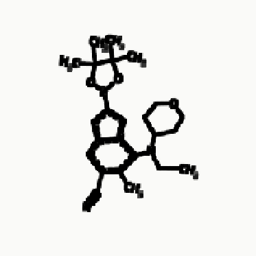 CCN(c1c(C)c(C#N)cc2cc(B3OC(C)(C)C(C)(C)O3)cn12)C1CCOCC1